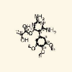 COc1cc(-c2c(N)nc(N)nc2O[C@H](O)[C@H](C)O)cc(OC)c1OC